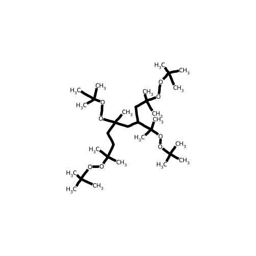 CC(C)(C)OOC(C)(C)CCC(C)(CC(CC(C)(C)OOC(C)(C)C)C(C)(C)OOC(C)(C)C)OOC(C)(C)C